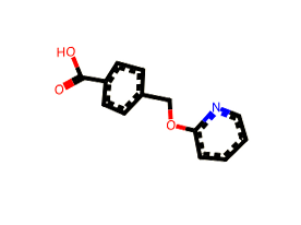 O=C(O)c1ccc(COc2ccccn2)cc1